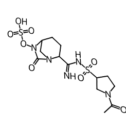 CC(=O)N1CCC(S(=O)(=O)NC(=N)C2CCC3CN2C(=O)N3OS(=O)(=O)O)C1